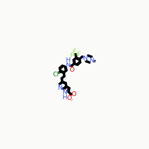 COC(=O)c1cc2cc(CCc3cc(NC(=O)c4ccc(CN5CCN(C)CC5)c(C(F)(F)F)c4)ccc3Cl)cnc2[nH]1